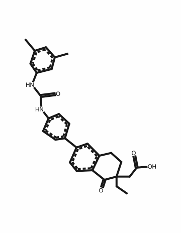 CCC1(CC(=O)O)CCc2cc(-c3ccc(NC(=O)Nc4cc(C)cc(C)c4)cc3)ccc2C1=O